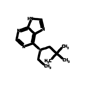 CCN(CC(C)(C)C)c1ncnc2[nH]cnc12